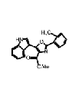 COC(=O)c1nc(-c2ccccc2C)oc1-c1c[nH]c2ccccc12